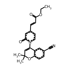 CCOC(=O)C=Cc1ccn(C2=CC(C)(C)Oc3ccc(C#N)cc32)c(=O)c1